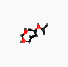 CC(C)OC1/C=C/COCOC1